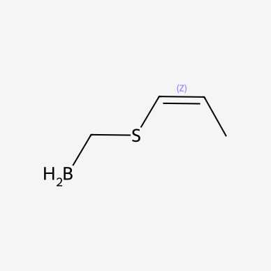 BCS/C=C\C